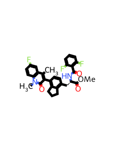 COC(=O)[C@H](Cc1ccc(-c2c(C)c3cc(F)ccc3n(C)c2=O)c2c1CCC2)NC(=O)c1c(F)cccc1F